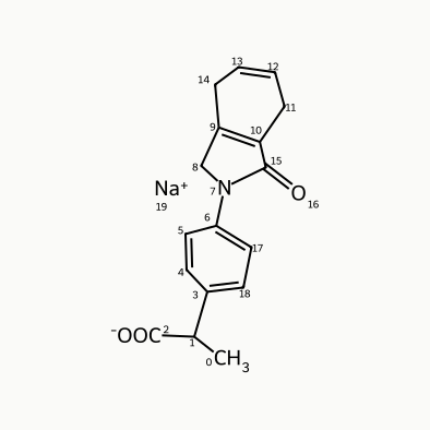 CC(C(=O)[O-])c1ccc(N2CC3=C(CC=CC3)C2=O)cc1.[Na+]